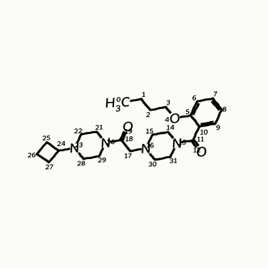 CCCCOc1ccccc1C(=O)N1CCN(CC(=O)N2CCN(C3CCC3)CC2)CC1